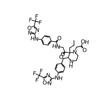 CCCC1(C(=O)CNC(=O)c2ccc(Nc3noc(C(F)(F)F)n3)cc2)C(C(=O)c2ccc(Nc3noc(C(F)(F)F)n3)cc2)NCCN1CC(=O)O